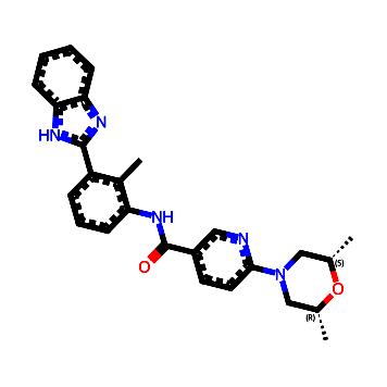 Cc1c(NC(=O)c2ccc(N3C[C@@H](C)O[C@@H](C)C3)nc2)cccc1-c1nc2ccccc2[nH]1